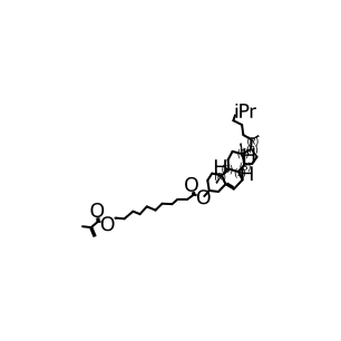 C=C(C)C(=O)OCCCCCCCCCCC(=O)OC1CC[C@@]2(C)C(=CC[C@H]3[C@@H]4CC[C@H]([C@H](C)CCCC(C)C)[C@@]4(C)CC[C@@H]32)C1